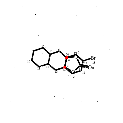 O=C1OC2C(O1)C1C3CCCCC3C2C2CCC(Br)CC21